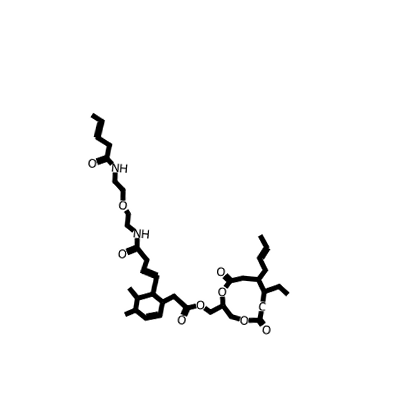 CC=CCC(=O)NCCOCCNC(=O)CC=CC1C(CC(=O)OCC2COC(=O)CC(CC)C(CC=CC)CC(=O)O2)C=CC(C)C1C